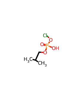 CC(C)COP(=O)(O)OCl